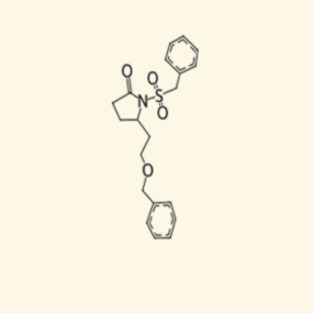 O=C1CCC(CCOCc2ccccc2)N1S(=O)(=O)Cc1ccccc1